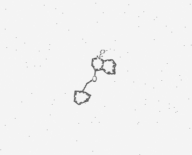 [O-][n+]1ccc(OCc2ccccc2)c2ccccc21